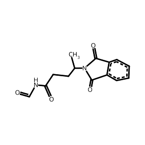 CC(CCC(=O)NC=O)N1C(=O)c2ccccc2C1=O